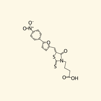 O=C(O)CCCN1C(=O)C(=Cc2ccc(-c3ccc([N+](=O)[O-])cc3)o2)SC1=S